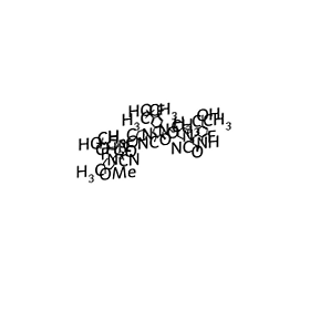 COC1(C)CCN(c2c(C#N)c(=O)n(COC3(C)CCN(c4c(C#N)c(=O)n(COC5(C)CCN(c6c(C#N)c(=O)[nH]c7c(F)cc(C(C)(C)O)cc67)CC5)c5cc(F)c(C(C)(C)O)cc45)CC3)c3ccc(C(C)(C)O)c(F)c23)CC1